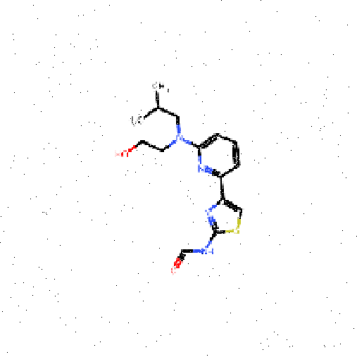 CC(C)CN(CCO)c1cccc(-c2csc(NC=O)n2)n1